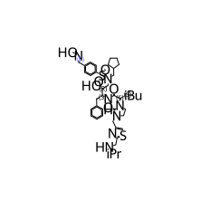 CC[C@H](C)[C@@H](C(=O)N[C@@H](Cc1ccccc1)[C@H](O)CN(CC1CCCC1)S(=O)(=O)c1ccc(/C=N/O)cc1)N1CCN(Cc2csc(CNC(C)C)n2)C1=O